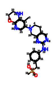 Cc1c(N2CCc3cnc(Nc4cccc(CS(C)(=O)=O)c4)nc3C2)cnc2c1NCCO2